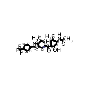 CC(=O)Nc1cc(O)c(C(=O)/C=C/c2sc(-c3ccc(C(F)(F)F)cc3)nc2C(C)C)cc1C